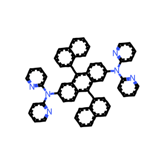 c1ccc(N(c2ccc3c(-c4cccc5ccccc45)c4cc(N(c5ccccn5)c5ccccn5)ccc4c(-c4cccc5ccccc45)c3c2)c2ccccn2)nc1